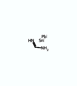 N=CN.[Pb].[Sn]